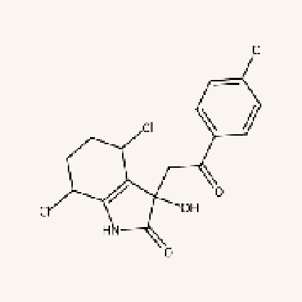 O=C(CC1(O)C(=O)NC2=C1C(Cl)CCC2Cl)c1ccc(Cl)cc1